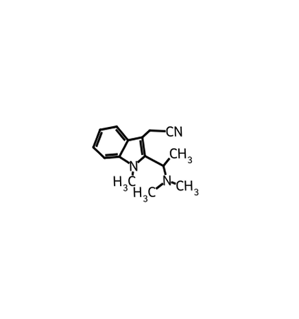 CC(c1c(CC#N)c2ccccc2n1C)N(C)C